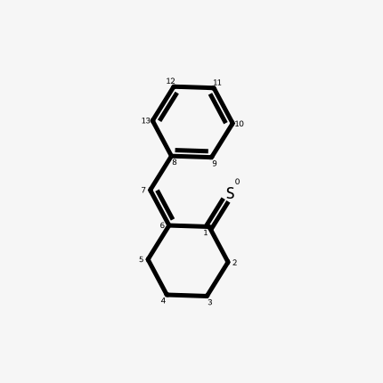 S=C1CCCCC1=Cc1ccccc1